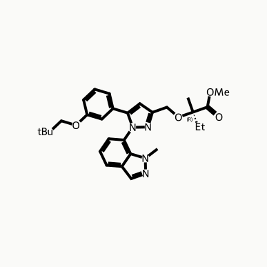 CC[C@@](C)(OCc1cc(-c2cccc(OCC(C)(C)C)c2)n(-c2cccc3cnn(C)c23)n1)C(=O)OC